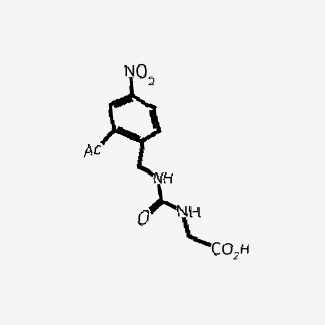 CC(=O)c1cc([N+](=O)[O-])ccc1CNC(=O)NCC(=O)O